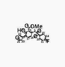 COC(=O)c1c(CS(=O)(=O)c2ccc(F)cc2)ccc(-c2ccoc2)c1O